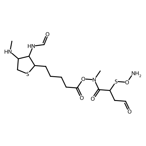 CNC1CSC(CCCCC(=O)ON(C)C(=O)C(CC=O)SON)C1NC=O